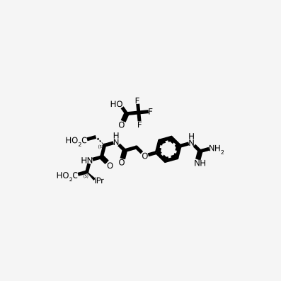 CC(C)[C@H](NC(=O)[C@H](CC(=O)O)NC(=O)COc1ccc(NC(=N)N)cc1)C(=O)O.O=C(O)C(F)(F)F